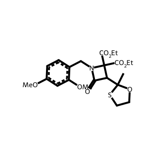 CCOC(=O)C1(C(=O)OCC)C(C2(C)OCCS2)C(=O)N1Cc1ccc(OC)cc1OC